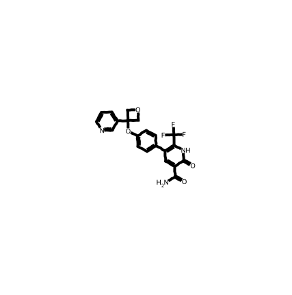 NC(=O)c1cc(-c2ccc(OC3(c4cccnc4)COC3)cc2)c(C(F)(F)F)[nH]c1=O